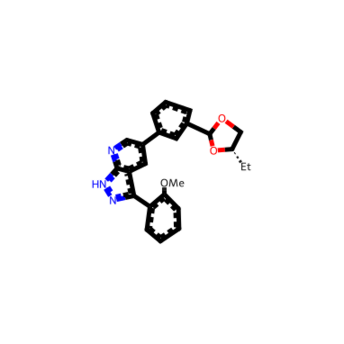 CC[C@H]1COC(c2cccc(-c3cnc4[nH]nc(-c5ccccc5OC)c4c3)c2)O1